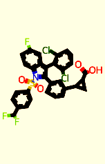 O=C(O)C1CC1c1cccc(-c2c(-c3c(Cl)cccc3Cl)c3cc(F)ccc3n2S(=O)(=O)c2ccc(C(F)F)cc2)c1